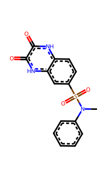 CN(c1ccccc1)S(=O)(=O)c1ccc2[nH]c(=O)c(=O)[nH]c2c1